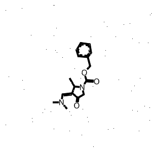 CC1C(=CN(C)C)C(=O)CN1C(=O)OCc1ccccc1